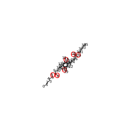 CCCCCCOC(=O)CCCC(C)(C)c1cc(OC)c(C(C)(C)CCCC(=O)OCCCCCC)cc1OC